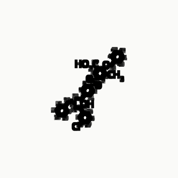 Cc1cc(S(=O)(=O)c2ccc(CCN(Cc3ccccc3)C[C@@H](O)c3cccc(Cl)c3)cc2)cc(C(=O)O)c1OCc1ccccc1